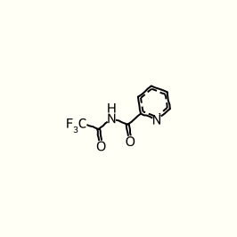 O=C(NC(=O)C(F)(F)F)c1ccccn1